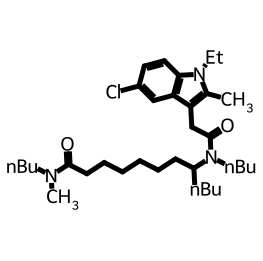 CCCCC(CCCCCCC(=O)N(C)CCCC)N(CCCC)C(=O)Cc1c(C)n(CC)c2ccc(Cl)cc12